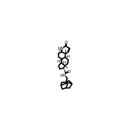 C[C@]12C=CC(=O)N[C@@H]1CC[C@@H]1[C@@H]2CC[C@]2(C)[C@@H](C(=O)NCC34CC5CC(CC(C5)C3)C4)CC[C@@H]12